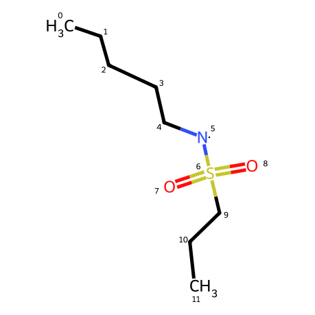 CCCCC[N]S(=O)(=O)CCC